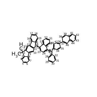 CC1(C)c2ccccc2-c2cc3c(cc21)c1ccccc1n3-c1ccc(N(c2ccccc2)c2ccc(-c3ccc4ccccc4c3)cc2)c2ccccc12